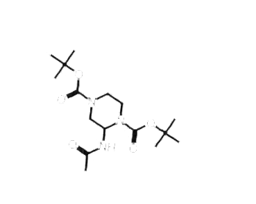 CC(=O)NC1CN(C(=O)OC(C)(C)C)CCN1C(=O)OC(C)(C)C